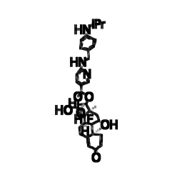 CC(C)Nc1ccc(CNc2ccc([C@@H]3O[C@@H]4C[C@H]5[C@@H]6CCC7=CC(=O)C=C[C@]7(C)[C@@]6(F)[C@@H](O)C[C@]5(C)[C@]4(C(=O)CO)O3)cn2)cc1